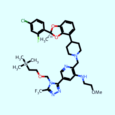 COCCNc1cc(-c2nnc(C(F)(F)F)n2COCC[Si](C)(C)C)cnc1CN1CCC(c2cccc3c2O[C@@](C)(c2ccc(Cl)cc2F)O3)CC1